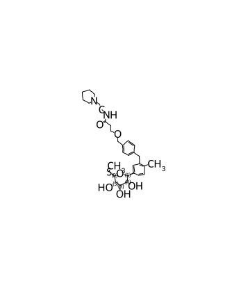 CS[C@H]1O[C@@H](c2ccc(C)c(Cc3ccc(COCCC(=O)NCCN4CCCCC4)cc3)c2)[C@H](O)[C@@H](O)[C@@H]1O